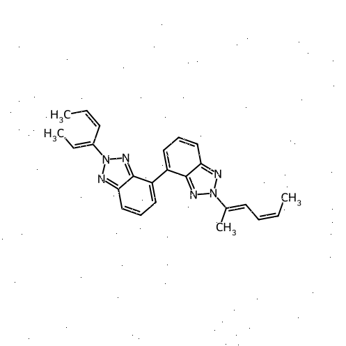 C/C=C\C=C(/C)n1nc2cccc(-c3cccc4nn(C(/C=C\C)=C/C)nc34)c2n1